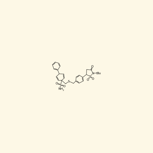 CC(C)(C)N1C(=O)CC(c2ccc(CSCC3(S(N)(=O)=O)C=CC(c4ccccc4)C=C3)cc2)S1(=O)=O